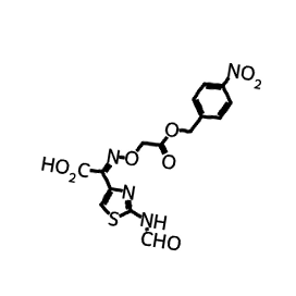 O=CNc1nc(/C(=N\OCC(=O)OCc2ccc([N+](=O)[O-])cc2)C(=O)O)cs1